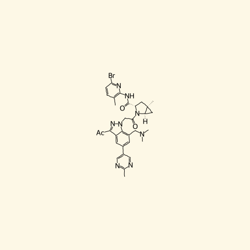 CC(=O)c1nn(CC(=O)N2[C@H](C(=O)Nc3nc(Br)ccc3C)C[C@@]3(C)C[C@@H]23)c2c(CN(C)C)cc(-c3cnc(C)nc3)cc12